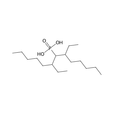 CCCCCC(CC)C(C(CC)CCCCC)P(=O)(O)O